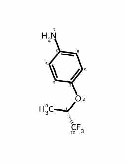 C[C@H](Oc1ccc(N)cc1)C(F)(F)F